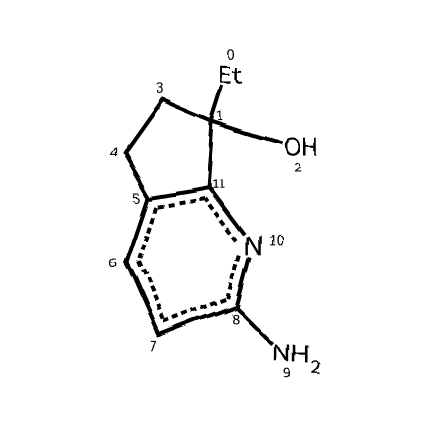 CCC1(O)CCc2ccc(N)nc21